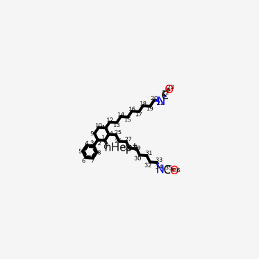 CCCCCCCC1C(c2ccccc2)CCC(CCCCCCCCCN=C=O)C1CCCCCCCCCN=C=O